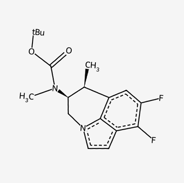 C[C@H]1c2cc(F)c(F)c3ccn(c23)C[C@H]1N(C)C(=O)OC(C)(C)C